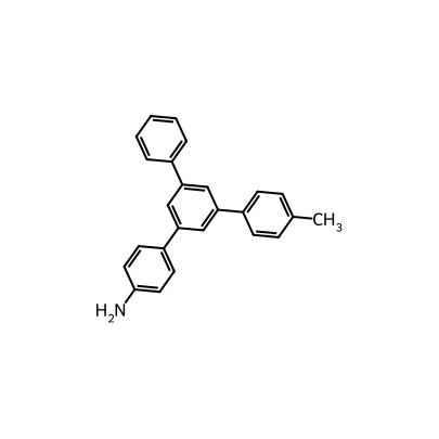 Cc1ccc(-c2cc(-c3ccccc3)cc(-c3ccc(N)cc3)c2)cc1